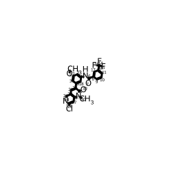 COc1cc(NC(=O)c2cccc(C(F)(F)F)c2)cc(-c2cc3cnc(Cl)cc3n(C)c2=O)c1